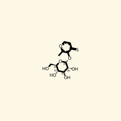 Cc1occc(=S)c1O[C@H]1O[C@H](CO)[C@@H](O)[C@H](O)[C@H]1O